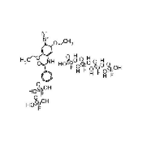 CCOC1=CC(=[N+]=[N-])C(OCC)C=C1NC(=O)c1ccccc1.[O]=[Sb]([OH])([OH])[F].[O]=[Sb]([OH])([OH])[F].[O]=[Sb]([OH])([OH])[F].[O]=[Sb]([OH])([OH])[F].[O]=[Sb]([OH])([OH])[F].[O]=[Sb]([OH])([OH])[F]